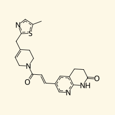 Cc1cnc(CC2=CCN(C(=O)C=Cc3cnc4c(c3)CCC(=O)N4)CC2)s1